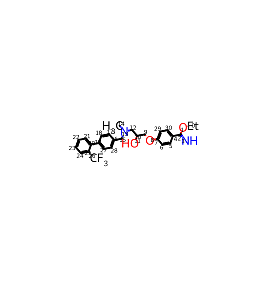 CCOC(=N)c1ccc(OCC(O)CN(C)Cc2ccc(-c3ccccc3C(F)(F)F)cc2)cc1